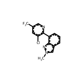 Cn1cc2cccc(-c3ncc(C(F)(F)F)cc3Cl)c2n1